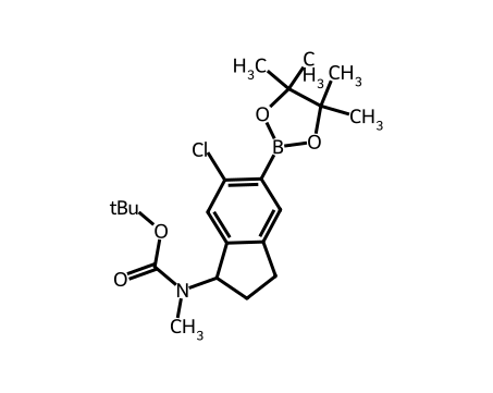 CN(C(=O)OC(C)(C)C)C1CCc2cc(B3OC(C)(C)C(C)(C)O3)c(Cl)cc21